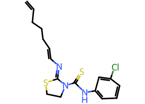 C=CCCCC=CN=C1SCCN1C(=S)Nc1cccc(Cl)c1